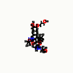 COCCCOc1cc(C[C@@H](C[C@H](NC(=O)OC(C)(C)C)[C@H](C[C@H](C(=O)NCC2(C)COC2)C(C)C)O[Si](C)(C)C(C)(C)C)C(C)C)ccc1OC